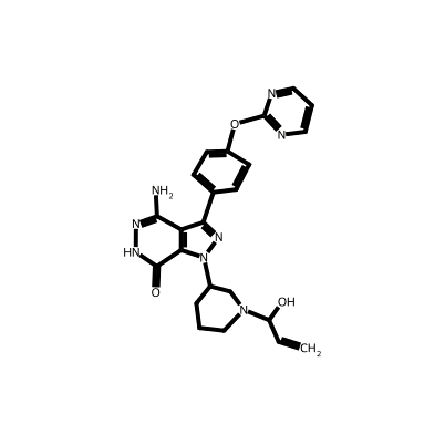 C=CC(O)N1CCCC(n2nc(-c3ccc(Oc4ncccn4)cc3)c3c(N)n[nH]c(=O)c32)C1